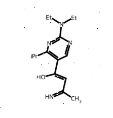 CCN(CC)c1ncc(/C(O)=C/C(C)=N)c(C(C)C)n1